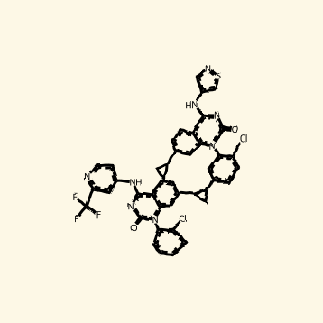 O=c1nc(Nc2cnsc2)c2ccc(C3CC3)cc2n1-c1cc(C2CC2c2ccc3c(Nc4ccnc(C(F)(F)F)c4)nc(=O)n(-c4ccccc4Cl)c3c2)ccc1Cl